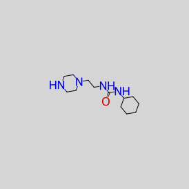 O=C(NCCN1CCNCC1)NC1CCCCC1